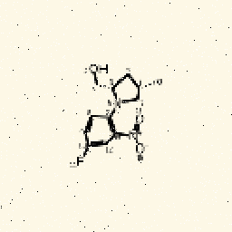 C[C@H]1C[C@@H](CO)N(c2ccc(F)cc2[N+](=O)[O-])C1